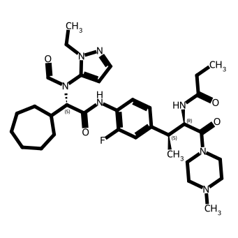 CCC(=O)N[C@@H](C(=O)N1CCN(C)CC1)[C@@H](C)c1ccc(NC(=O)[C@H](C2CCCCCC2)N(C=O)c2ccnn2CC)c(F)c1